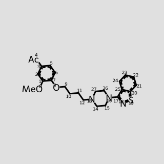 COc1cc(C(C)=O)ccc1OCCCCN1CCN(c2nsc3ccccc23)CC1